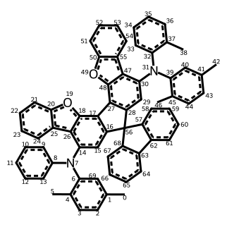 Cc1ccc(C)c(N(c2ccccc2)c2cc3c(c4oc5ccccc5c24)-c2c(cc(N(c4ccccc4C)c4cc(C)ccc4C)c4c2oc2ccccc24)C32c3ccccc3-c3ccccc32)c1